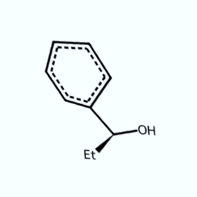 [CH2]C[C@H](O)c1ccccc1